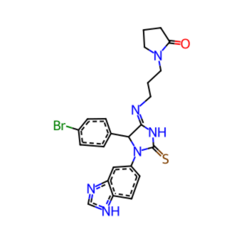 O=C1CCCN1CCC/N=C1\NC(=S)N(c2ccc3[nH]cnc3c2)C1c1ccc(Br)cc1